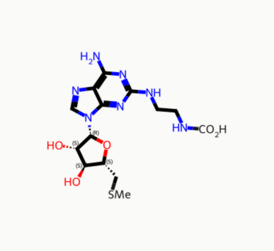 CSC[C@H]1O[C@@H](n2cnc3c(N)nc(NCCNC(=O)O)nc32)[C@@H](O)[C@@H]1O